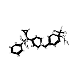 COC1(C(F)(F)F)C=CC(CN2CCC(N(C3CC3)S(=O)(=O)c3ccccc3)CC2)=CC1